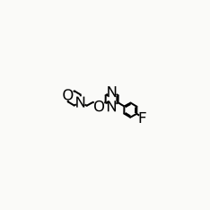 Fc1ccc(-c2cncc(OCCN3CCOCC3)n2)cc1